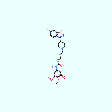 COc1cc(NC(=O)OCCCN2CCC(c3noc4cc(F)ccc34)CC2)cc(OC)c1OC